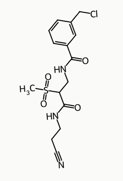 CS(=O)(=O)C(CNC(=O)c1cccc(CCl)c1)C(=O)NCCC#N